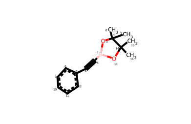 CC1(C)OB(C#Cc2ccccc2)OC1(C)C